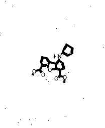 COC(=O)c1cccc2c1oc1c(C(=O)OC)ccc(Nc3ccccc3)c12